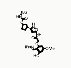 COc1cc(O)c(/C=N/C(C)C)c(OCC(=O)Nc2cc([C@H]3CC[C@@H](OC(=O)NC(C)(C)C)C3)[nH]n2)c1